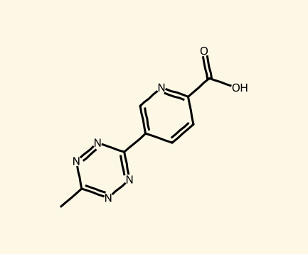 Cc1nnc(-c2ccc(C(=O)O)nc2)nn1